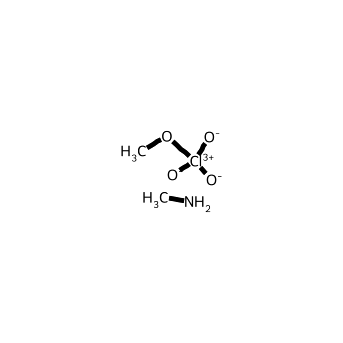 CN.CO[Cl+3]([O-])([O-])[O-]